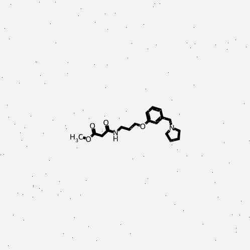 COC(=O)CC(=O)NCCCOc1cccc(CN2CCCC2)c1